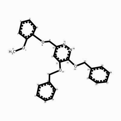 COc1ccccc1OCc1cc(OCc2ccccc2)c(OCc2ccccc2)nn1